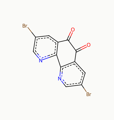 O=C1C(=O)c2cc(Br)cnc2-c2ncc(Br)cc21